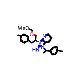 COCOCC(Cc1ccc(C)cc1)n1c(=N)n(C(C)c2ccc(C)cc2)c2cccnc21